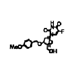 COc1ccc(COC2C[C@@H](n3cc(F)c(=O)[nH]c3=O)O[C@H]2CO)cc1